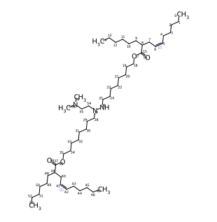 CCCCC/C=C\CC(CCCCCC)C(=O)OCCCCCCCCNN(CCCCCCCCOC(=O)C(C/C=C\CCCCC)CCCCCC)CCN(C)C